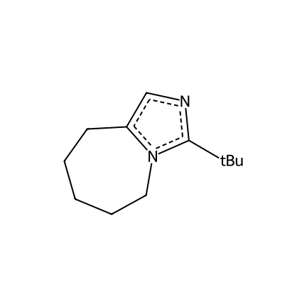 CC(C)(C)c1ncc2n1CCCCC2